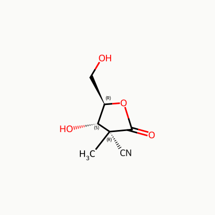 C[C@]1(C#N)C(=O)O[C@H](CO)[C@H]1O